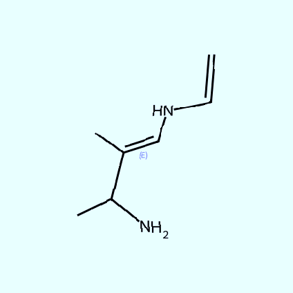 C=CN/C=C(\C)C(C)N